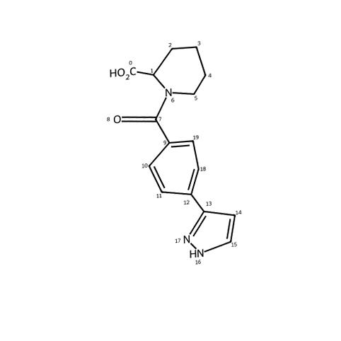 O=C(O)C1CCCCN1C(=O)c1ccc(-c2cc[nH]n2)cc1